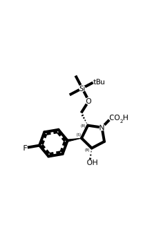 CC(C)(C)[Si](C)(C)OC[C@H]1[C@H](c2ccc(F)cc2)[C@@H](O)CN1C(=O)O